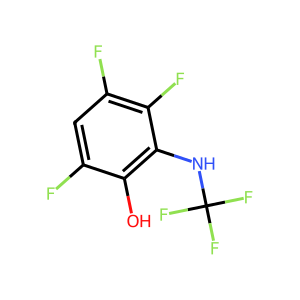 Oc1c(F)cc(F)c(F)c1NC(F)(F)F